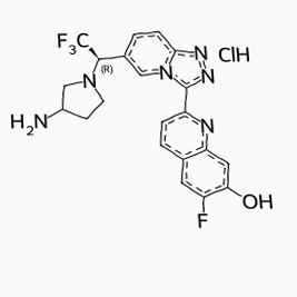 Cl.NC1CCN([C@H](c2ccc3nnc(-c4ccc5cc(F)c(O)cc5n4)n3c2)C(F)(F)F)C1